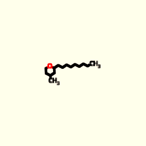 CCCCCCCCCC1CC(C)CCO1